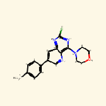 O=C(O)c1ccc(-c2cnc3c(N4CCOCC4)nc(Cl)nc3c2)cc1